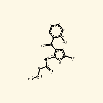 CCc1cc(C(=O)c2ccccc2Cl)c(NC(=O)CNO)s1